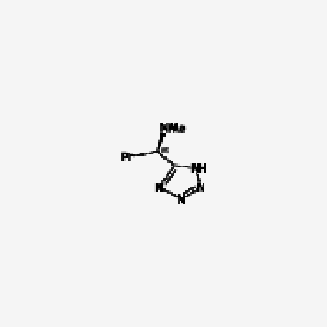 CN[C@@H](c1nnn[nH]1)C(C)C